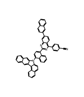 N#Cc1ccc(-c2nc(-c3ccc(-n4c5cc6ccccc6cc5c5c6ccccc6ccc54)c4ccccc34)nc3cc(-c4ccc5ccccc5c4)ccc23)cc1